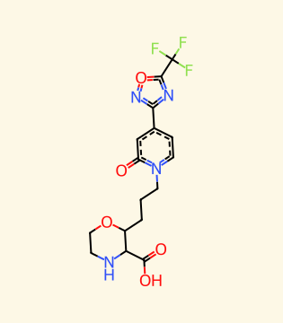 O=C(O)C1NCCOC1CCCn1ccc(-c2noc(C(F)(F)F)n2)cc1=O